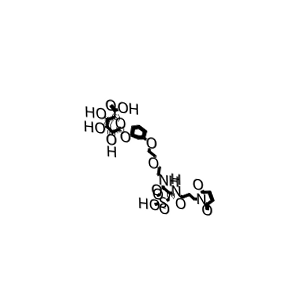 O=C(CCN1C(=O)C=CC1=O)N[C@@H](CS(=O)(=O)O)C(=O)NCCOCCOc1cccc(O[C@@H]2O[C@H](C(=O)O)[C@@H](O)[C@H](O)[C@H]2O)c1